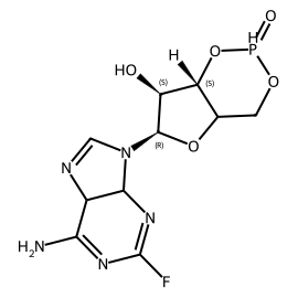 NC1=NC(F)=NC2C1N=CN2[C@@H]1OC2CO[PH](=O)O[C@H]2[C@@H]1O